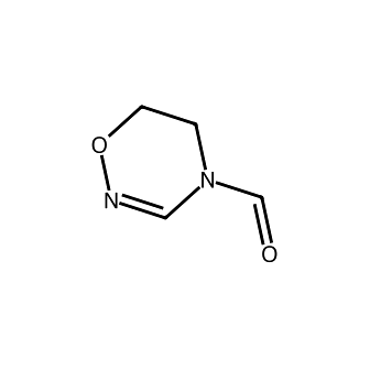 O=CN1C=NOCC1